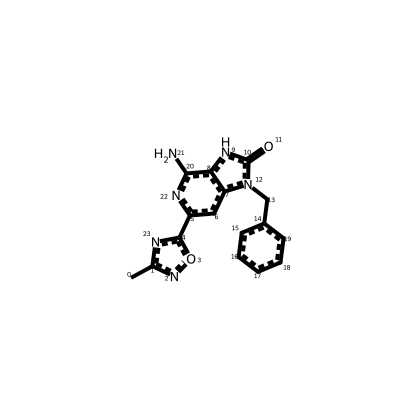 Cc1noc(-c2cc3c([nH]c(=O)n3Cc3ccccc3)c(N)n2)n1